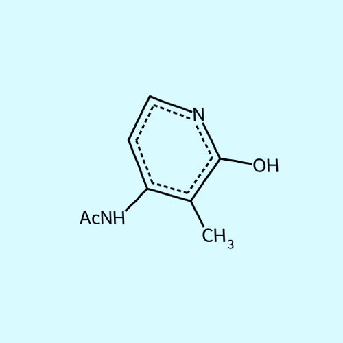 CC(=O)Nc1ccnc(O)c1C